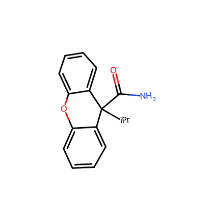 CC(C)C1(C(N)=O)c2ccccc2Oc2ccccc21